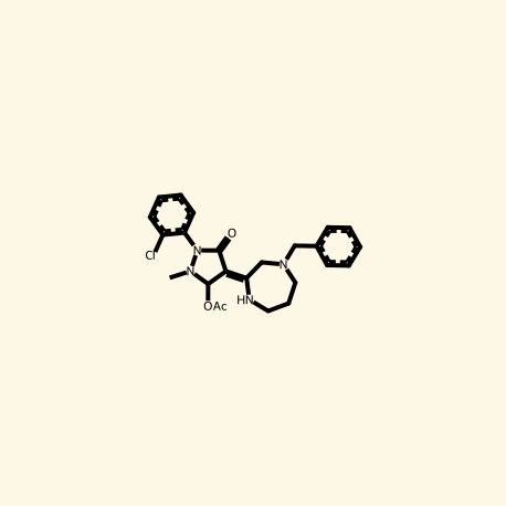 CC(=O)OC1C(=C2CN(Cc3ccccc3)CCCN2)C(=O)N(c2ccccc2Cl)N1C